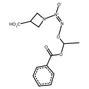 CC(O/N=[N+](/[O-])N1CC(C(=O)O)C1)OC(=O)c1ccccc1